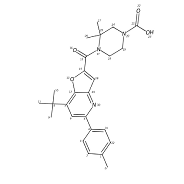 Cc1ccc(-c2cc(C(C)(C)C)c3oc(C(=O)N4CCN(C(=O)O)CC4(C)C)cc3n2)cc1